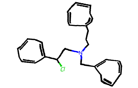 ClC(CN(Cc1ccccc1)Cc1ccccc1)c1ccccc1